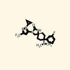 CN(C)[C@]1(c2cccc(F)c2)CC[C@@]2(CC1)CN(c1cc(C(F)(F)F)nn1C1CC1)C(=O)N2